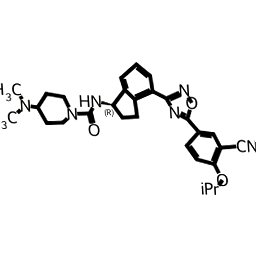 CC(C)Oc1ccc(-c2nc(-c3cccc4c3CC[C@H]4NC(=O)N3CCC(N(C)C)CC3)no2)cc1C#N